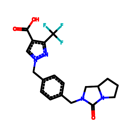 O=C(O)c1cn(Cc2ccc(CN3CC4CCCN4C3=O)cc2)nc1C(F)(F)F